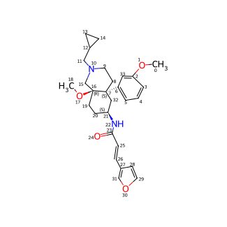 COc1cccc([C@@]23CCN(CC4CC4)C[C@@]2(OC)CC[C@H](NC(=O)C=Cc2ccoc2)C3)c1